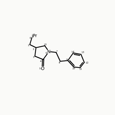 CC(C)CC1CC(=O)N(CCc2ccccc2)C1